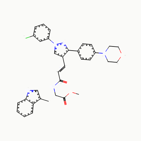 COC(=O)[C@H](Cc1c[nH]c2ccccc12)NC(=O)/C=C/c1cn(-c2cccc(Cl)c2)nc1-c1ccc(N2CCOCC2)cc1